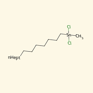 CCCCCCCCCCCCC[CH2][Sn]([CH3])([Cl])[Cl]